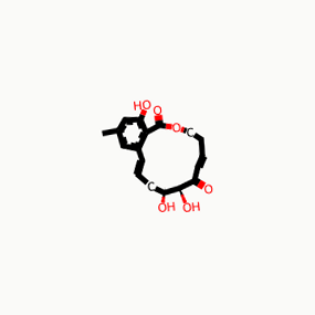 Cc1cc(O)c2c(c1)/C=C/C[C@H](O)[C@H](O)C(=O)/C=C/CCOC2=O